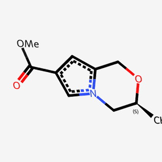 COC(=O)c1cc2n(c1)C[C@H](C)OC2